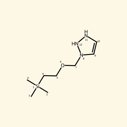 C[Si](C)(C)CCOCN1C=CNN1